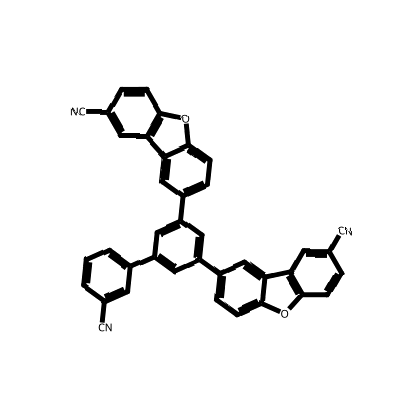 N#Cc1cccc(-c2cc(-c3ccc4oc5ccc(C#N)cc5c4c3)cc(-c3ccc4oc5ccc(C#N)cc5c4c3)c2)c1